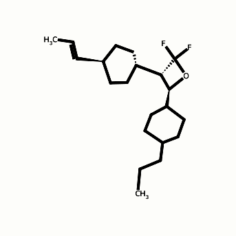 C/C=C/[C@H]1CC[C@H]([C@H]2[C@H](C3CCC(CCC)CC3)OC2(F)F)CC1